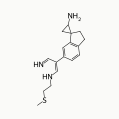 CSCCN/C=C(\C=N)c1ccc2c(c1)C1(CC2)CC1N